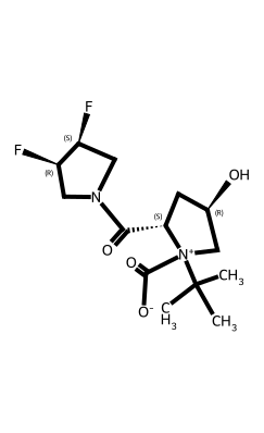 CC(C)(C)[N+]1(C(=O)[O-])C[C@H](O)C[C@H]1C(=O)N1C[C@@H](F)[C@@H](F)C1